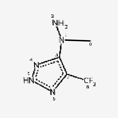 CN(N)c1n[nH]nc1C(F)(F)F